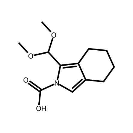 COC(OC)c1c2c(cn1C(=O)O)CCCC2